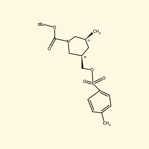 Cc1ccc(S(=O)(=O)OC[C@@H]2C[C@H](C)CN(C(=O)OC(C)(C)C)C2)cc1